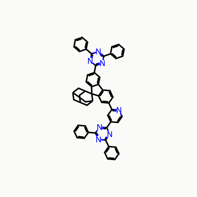 c1ccc(-c2nc(-c3ccccc3)nc(-c3ccnc(-c4ccc5c(c4)C4(c6ccc(-c7nc(-c8ccccc8)nc(-c8ccccc8)n7)cc6-5)C5CC6CC(C5)CC4C6)c3)n2)cc1